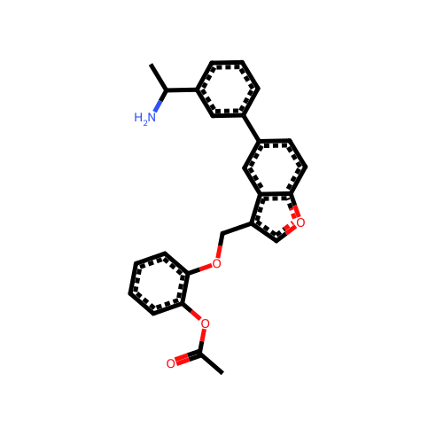 CC(=O)Oc1ccccc1OCc1coc2ccc(-c3cccc(C(C)N)c3)cc12